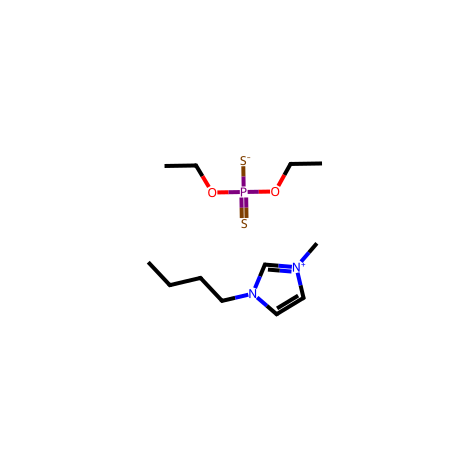 CCCCn1cc[n+](C)c1.CCOP(=S)([S-])OCC